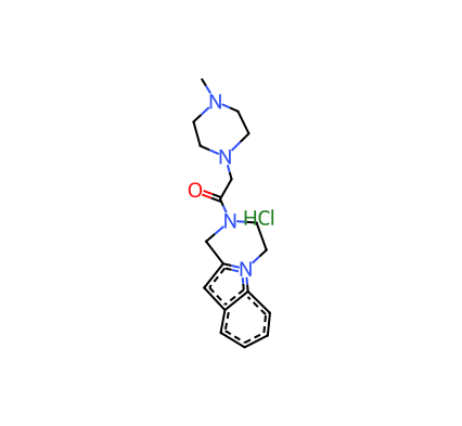 CN1CCN(CC(=O)N2CCn3c(cc4ccccc43)C2)CC1.Cl